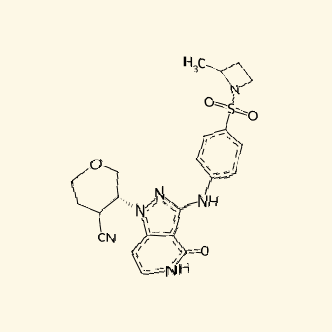 CC1CCN1S(=O)(=O)c1ccc(Nc2nn([C@H]3COCCC3C#N)c3cc[nH]c(=O)c23)cc1